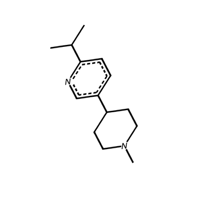 CC(C)c1ccc(C2CCN(C)CC2)cn1